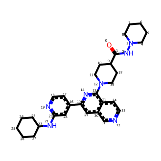 O=C(NN1CCCCC1)C1CCN(c2nc(-c3ccnc(NC4CCCCC4)c3)cc3cnccc23)CC1